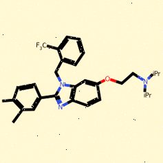 Cc1ccc(-c2nc3ccc(OCCN(C(C)C)C(C)C)cc3n2Cc2ccccc2C(F)(F)F)cc1C